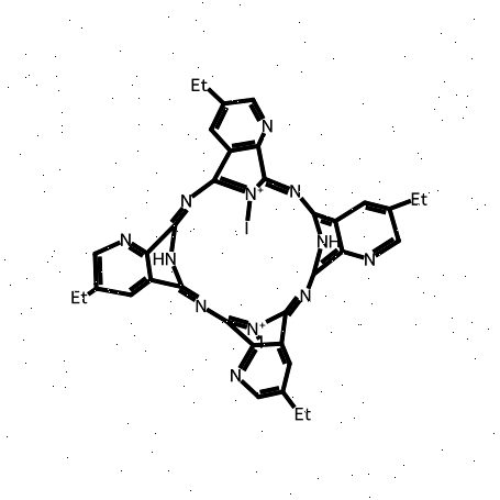 CCc1cnc2c(c1)-c1nc3[nH]c(nc4[n+](I)c(nc5[nH]c(nc-2[n+]1I)c1cc(CC)cnc51)-c1cc(CC)cnc1-4)c1cc(CC)cnc31